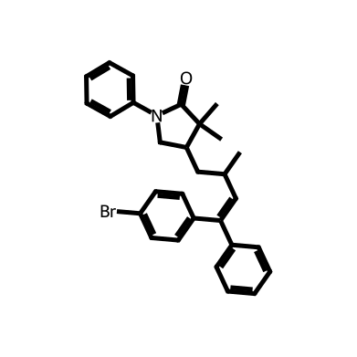 CC(/C=C(/c1ccccc1)c1ccc(Br)cc1)CC1CN(c2ccccc2)C(=O)C1(C)C